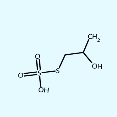 [CH2]C(O)CSS(=O)(=O)O